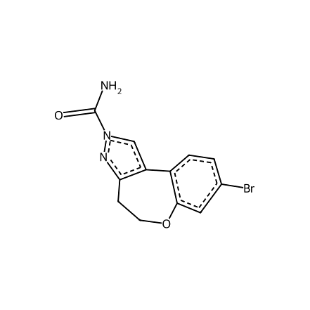 NC(=O)n1cc2c(n1)CCOc1cc(Br)ccc1-2